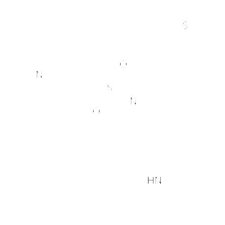 CNCc1cc(-c2ccsc2)n(S(=O)(=O)c2cccnc2)c1